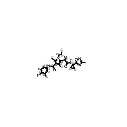 Cc1noc(C2(NC(=O)C(=O)c3c(C)c(C(=O)Nc4ccc(F)c(C)c4)c(C)n3CCF)CC2)n1